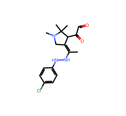 CC(NNc1ccc(Cl)cc1)=C1CN(C)C(C)(C)C1C(=O)C=O